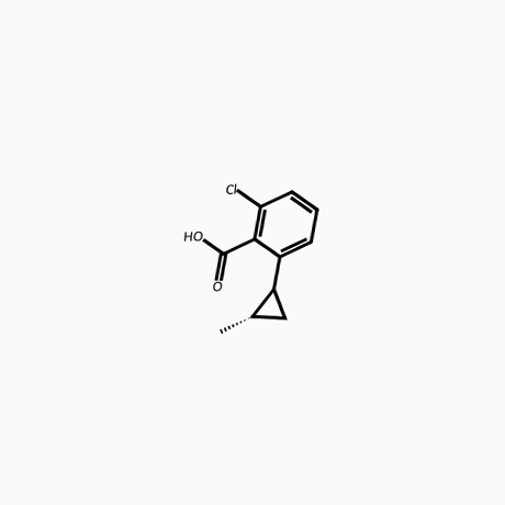 C[C@H]1CC1c1cccc(Cl)c1C(=O)O